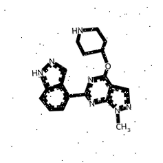 Cn1ncc2c(OC3CCNCC3)nc(-c3cccc4[nH]ncc34)nc21